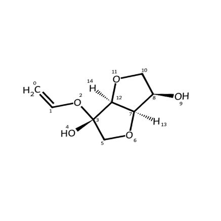 C=CO[C@@]1(O)CO[C@@H]2[C@H](O)CO[C@@H]21